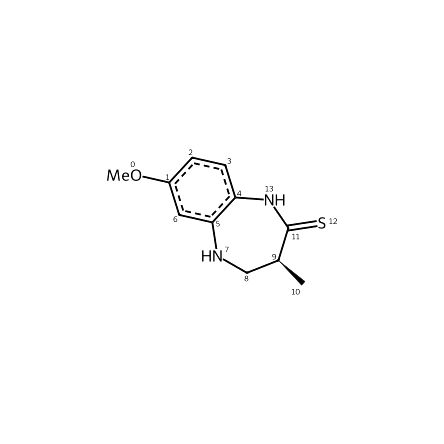 COc1ccc2c(c1)NC[C@H](C)C(=S)N2